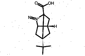 CC(C)(C)[C@]12CC3[C@H](CC1(C(=O)O)[N+]3=[N-])C2